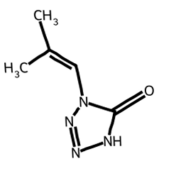 CC(C)=Cn1nn[nH]c1=O